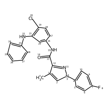 Cc1cn(-c2ccc(F)cc2)nc1C(=O)Nc1ccc(Cl)c(Nc2ccccc2)c1